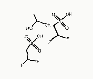 CC(O)O.O=S(=O)(O)CC(F)F.O=S(=O)(O)CC(F)F